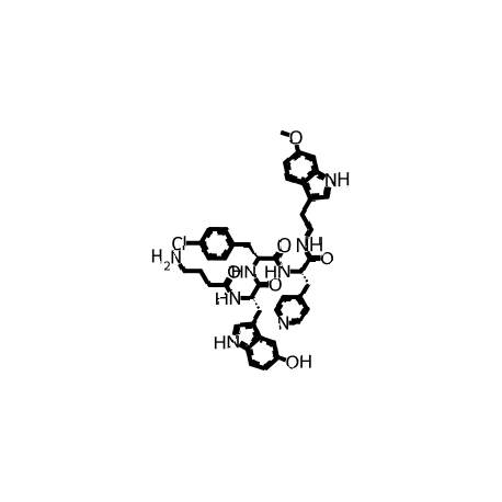 COc1ccc2c(CCNC(=O)[C@H](Cc3ccncc3)NC(=O)[C@H](Cc3ccc(Cl)cc3)NC(=O)[C@H](Cc3c[nH]c4ccc(O)cc34)NC(=O)CCCN)c[nH]c2c1